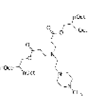 CCCCCCCCC(CCCCCCCC)COC(=O)CCN(CCC(=O)OCC(CCCCCCCC)CCCCCCCC)CCN1CCN(C)CC1